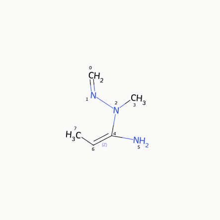 C=NN(C)/C(N)=C\C